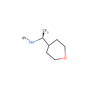 CC(C)N[C@H](C1CCOCC1)C(F)(F)F